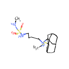 CNS(=O)(=O)NCCCNC12CC3CC(C1)C(SC)C(C3)C2